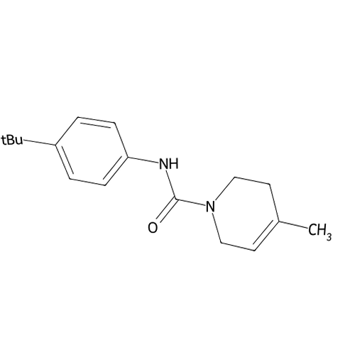 CC1=CCN(C(=O)Nc2ccc(C(C)(C)C)cc2)CC1